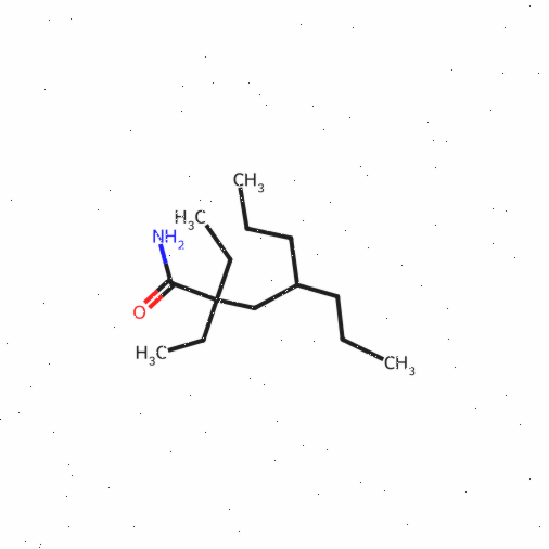 CCCC(CCC)CC(CC)(CC)C(N)=O